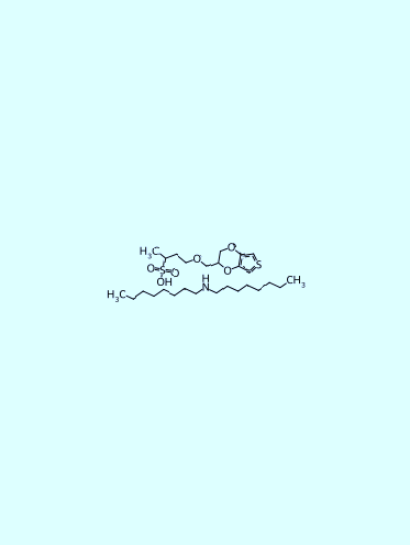 CC(CCOCC1COc2cscc2O1)S(=O)(=O)O.CCCCCCCCNCCCCCCCC